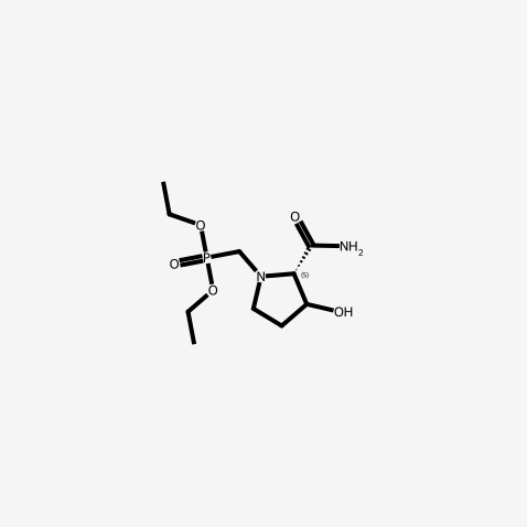 CCOP(=O)(CN1CCC(O)[C@H]1C(N)=O)OCC